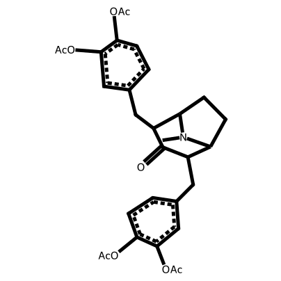 CC(=O)Oc1ccc(CC2C(=O)C(Cc3ccc(OC(C)=O)c(OC(C)=O)c3)C3CCC2N3C)cc1OC(C)=O